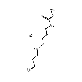 CC(C)(C)OC(=O)NCCCCNCCCN.Cl